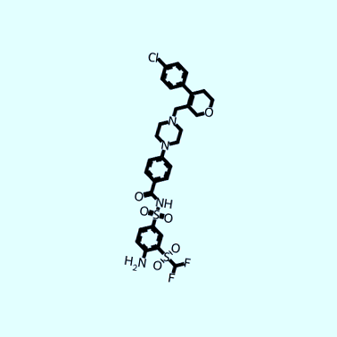 Nc1ccc(S(=O)(=O)NC(=O)c2ccc(N3CCN(CC4=C(c5ccc(Cl)cc5)CCOC4)CC3)cc2)cc1S(=O)(=O)C(F)F